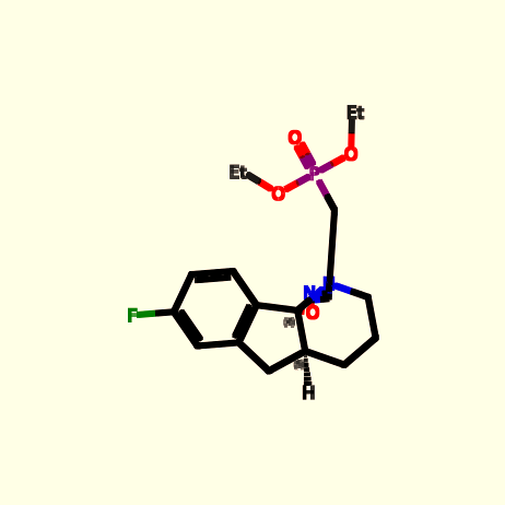 CCOP(=O)(CC1=NO[C@@]23c4ccc(F)cc4C[C@@H]2CCCN13)OCC